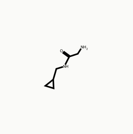 NCC(=O)NCC1CC1